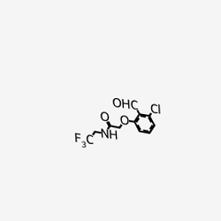 O=Cc1c(Cl)cccc1OCC(=O)NCC(F)(F)F